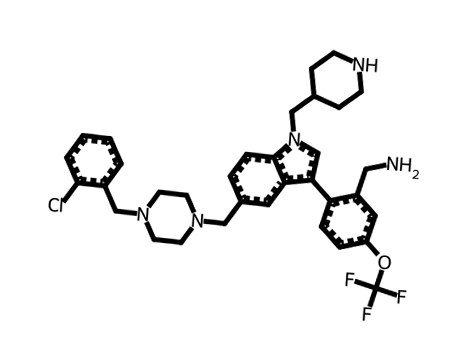 NCc1cc(OC(F)(F)F)ccc1-c1cn(CC2CCNCC2)c2ccc(CN3CCN(Cc4ccccc4Cl)CC3)cc12